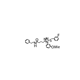 COc1cccc(-n2c(CCCC(=O)NCCc3ccccc3)nnc2SCc2cccc(F)c2)c1